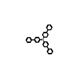 C1=CCC(C2=CCC(N(C3=CCC(c4ccccc4)C=C3)c3ccc(-c4ccccc4)cc3)CC2)C=C1